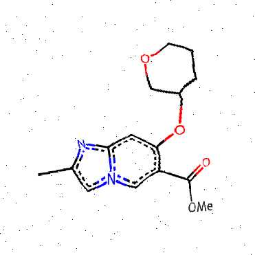 COC(=O)c1cn2cc(C)nc2cc1OC1CCCOC1